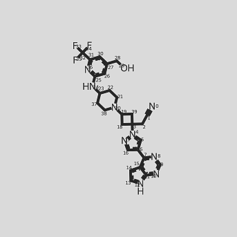 N#CCC1(n2cc(-c3ncnc4[nH]ccc34)cn2)CC(N2CCC(Nc3cc(CO)cc(C(F)(F)F)n3)CC2)C1